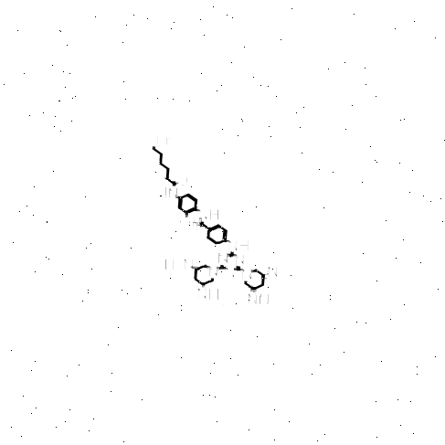 CC(C)CCCCCC(=O)Nc1ccc(NC(=O)c2ccc(Nc3nc(N4C[C@H](N)C[C@H](N)C4)nc(N4C[C@H](N)C[C@H](N)C4)n3)cc2)c(O)c1